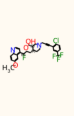 COc1ccc2nccc([C@H](F)CC[C@@H]3CCN(CC#Cc4cc(C(F)(F)F)ccc4Cl)C[C@@H]3C(=O)O)c2c1